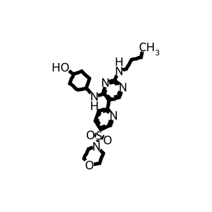 CCCCNc1ncc(-c2ccc(S(=O)(=O)N3CCOCC3)cn2)c(NC2CCC(O)CC2)n1